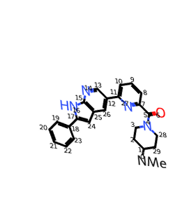 CNC1CCN(C(=O)c2cccc(-c3cnc4[nH]c(-c5ccccc5)cc4c3)n2)CC1